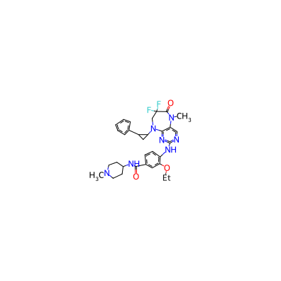 CCOc1cc(C(=O)NC2CCN(C)CC2)ccc1Nc1ncc2c(n1)N(C1CC1c1ccccc1)CC(F)(F)C(=O)N2C